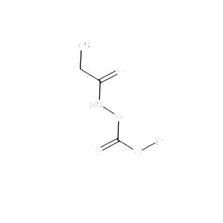 CCOC(=O)ONC(=O)CC#N